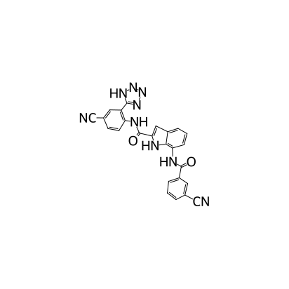 N#Cc1cccc(C(=O)Nc2cccc3cc(C(=O)Nc4ccc(C#N)cc4-c4nnn[nH]4)[nH]c23)c1